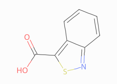 O=C(O)c1snc2ccccc12